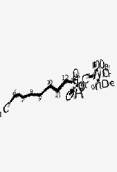 CCCCCCCCCC[N+](C)(C)CCCCCCCCCC.CCCCCCCCS(=O)(=O)O